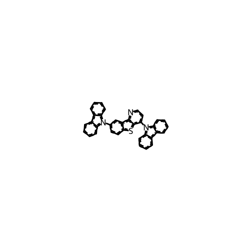 c1ccc2c(c1)c1ccccc1n2-c1ccc2sc3c(-n4c5ccccc5c5ccccc54)ccnc3c2c1